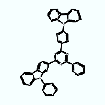 c1ccc(-c2nc(-c3ccc(-n4c5ccccc5c5ccccc54)cc3)nc(-c3ccc4c5ccccc5n(-c5ccccc5)c4c3)n2)cc1